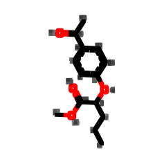 CCCC(Oc1ccc(C(C)=O)cc1)C(=O)OC